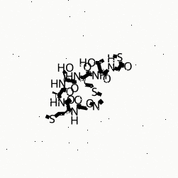 C=NOCC(=O)N[C@@H](CCSC)C(=O)N[C@@H](C)C(=O)N[C@@H](CO)C(=O)N[C@@H](CCSC)C(=O)N[C@H](C(=O)NCC(=O)SC)C(C)O